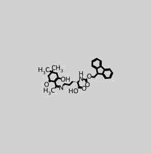 CC(=NCCC[C@H](NC(=O)OCC1c2ccccc2-c2ccccc21)C(=O)O)C1=C(O)CC(C)(C)CC1=O